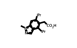 CC(C)c1cc2c(cnn2C)c(C(C)C)c1CC(=O)O